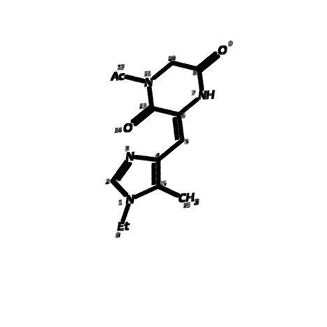 CCn1cnc(C=C2NC(=O)CN(C(C)=O)C2=O)c1C